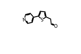 O=CCc1ccc(-c2ccncc2)s1